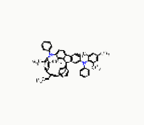 C=C/C1=C/CCCC2(c3ccccc3)c3cc(N(c4ccccc4)c4c(C)cc(C)cc4C)ccc3-c3ccc(cc32)N(c2ccccc2)c2c(C)cc1cc2C